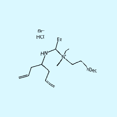 C=CCC(CC=C)NC(CC)[N+](C)(C)CCCCCCCCCCCC.Cl.[Br-]